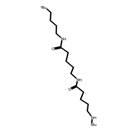 CC(C)(C)CCCCNC(=O)CCCCNC(=O)CCCCNC(C)(C)C